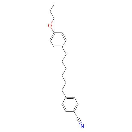 CCCOc1ccc(CCCCCCc2ccc(C#N)cc2)cc1